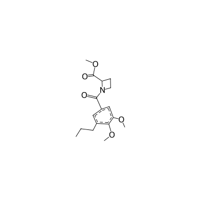 CCCc1cc(C(=O)N2CCC2C(=O)OC)cc(OC)c1OC